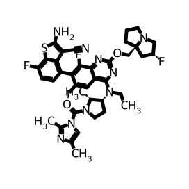 CCN(c1nc(OC[C@@]23CCCN2C[C@H](F)C3)nc2c(F)c(-c3ccc(F)c4sc(N)c(C#N)c34)c(I)cc12)[C@@H]1CCN(C(=O)n2cc(C)nc2C)[C@@H]1C